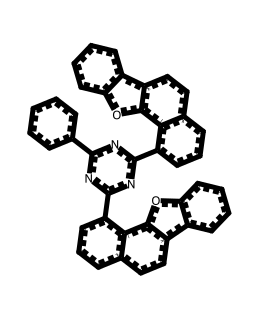 c1ccc(-c2nc(-c3cccc4ccc5c6ccccc6oc5c34)nc(-c3cccc4ccc5c6ccccc6oc5c34)n2)cc1